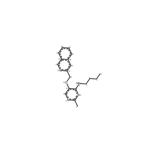 CCCCNc1nc(C)ncc1OCc1cc2ccccc2cn1